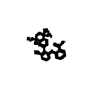 CC1(C)CCC(C)(C)c2cc(-c3c(O)cccc3Sc3ccccc3[N+](=O)[O-])ccc21